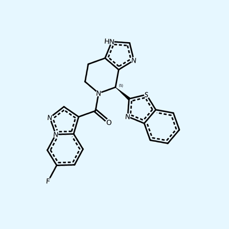 O=C(c1cnn2cc(F)ccc12)N1CCc2[nH]cnc2[C@H]1c1nc2ccccc2s1